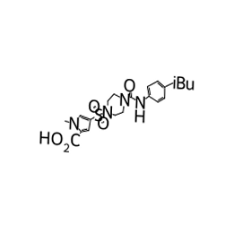 CCC(C)c1ccc(NC(=O)N2CCN(S(=O)(=O)c3cc(C(=O)O)n(C)c3)CC2)cc1